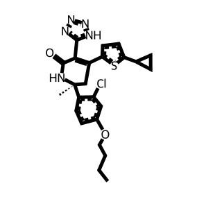 CCCCOc1ccc([C@]2(C)CC(c3ccc(C4CC4)s3)=C(c3nnn[nH]3)C(=O)N2)c(Cl)c1